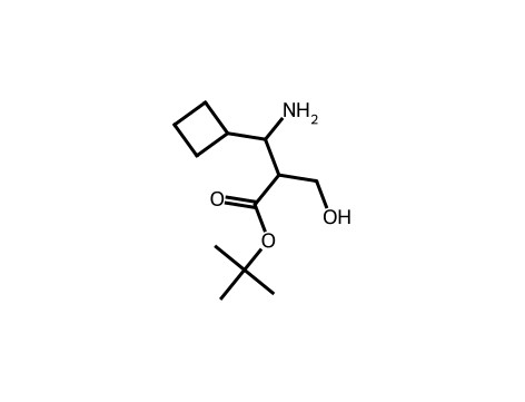 CC(C)(C)OC(=O)C(CO)C(N)C1CCC1